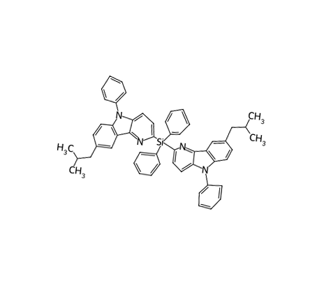 CC(C)Cc1ccc2c(c1)c1nc([Si](c3ccccc3)(c3ccccc3)c3ccc4c(n3)c3cc(CC(C)C)ccc3n4-c3ccccc3)ccc1n2-c1ccccc1